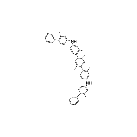 Cc1cc(Nc2ccc(-c3cc(C)c(-c4ccc(Nc5ccc(-c6ccccc6)c(C)c5)cc4C)cc3C)c(C)c2)ccc1-c1ccccc1